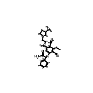 CCc1c(C#N)c(SC(C(N)=O)c2ccccc2)nc(N(C)CCN2CCC(N(C)C)C2)c1C#N